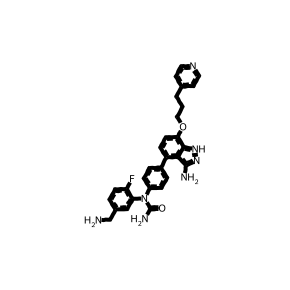 NCc1ccc(F)c(N(C(N)=O)c2ccc(-c3ccc(OCCCc4ccncc4)c4[nH]nc(N)c34)cc2)c1